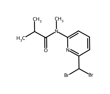 CC(C)C(=O)N(C)c1cccc(C(Br)Br)n1